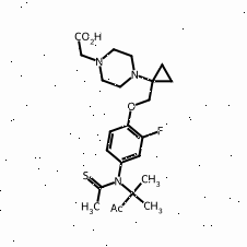 CC(=O)C(C)(C)N(C(C)=S)c1ccc(OCC2(N3CCN(CC(=O)O)CC3)CC2)c(F)c1